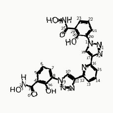 O=C(NO)c1cccc(-n2cc(-c3cccc(-c4cn(-c5cccc(C(=O)NO)c5O)nn4)n3)nn2)c1O